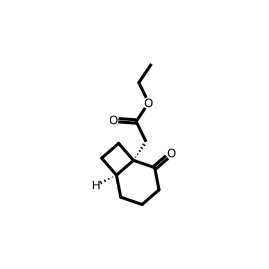 CCOC(=O)C[C@@]12CC[C@@H]1CCCC2=O